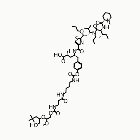 CCCO[C@H](C[C@H](C(C)C)N(CCC)C(=O)[C@@H](NC(=O)[C@H]1CCCCN1C)[C@@H](C)CC)c1nc(C(=O)N[C@@H](Cc2ccc(OC(=O)NCCCCNC(=O)CCNC(=O)OCC(OC)OC(CO)CC(C)(C)C)cc2)C[C@H](C)C(=O)O)cs1